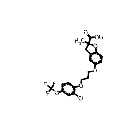 CC1(C(=O)O)Cc2cc(OCCCOc3ccc(OC(F)(F)F)cc3Cl)ccc2O1